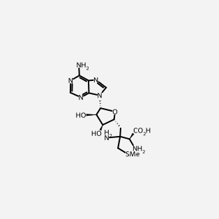 CSCC(N)(C[C@H]1O[C@@H](n2cnc3c(N)ncnc32)[C@H](O)[C@@H]1O)[C@H](N)C(=O)O